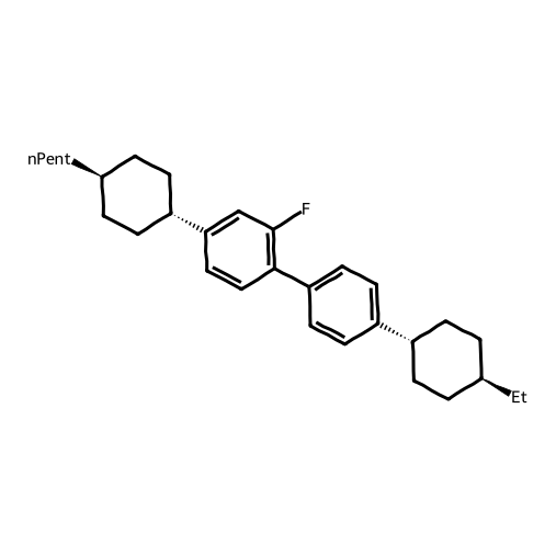 CCCCC[C@H]1CC[C@H](c2ccc(-c3ccc([C@H]4CC[C@H](CC)CC4)cc3)c(F)c2)CC1